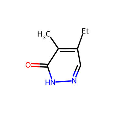 CCc1cn[nH]c(=O)c1C